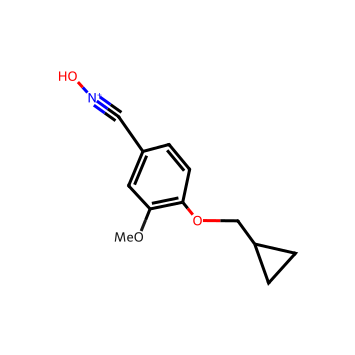 COc1cc(C#[N+]O)ccc1OCC1CC1